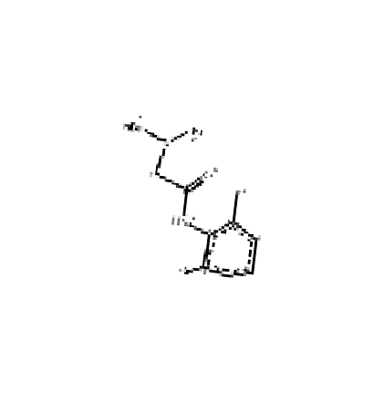 CCCCN(CC(=O)Nc1c(C)cccc1C)C(C)(C)C